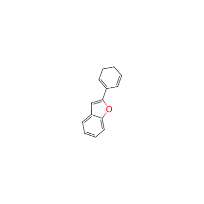 C1=CC(c2cc3ccccc3o2)=CCC1